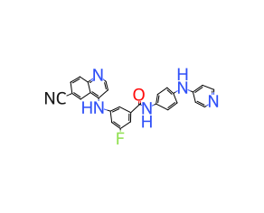 N#Cc1ccc2nccc(Nc3cc(F)cc(C(=O)Nc4ccc(Nc5ccncc5)cc4)c3)c2c1